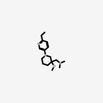 CCc1ccc(N2CCCC(CN(C)C)(OC)C2)cn1